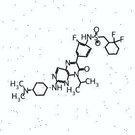 CC(C)n1c(=O)c(-c2ccc(NS(=O)(=O)CC3CCCCC3(F)F)c(F)c2)nc2cnc(N[C@H]3CC[C@H](N(C)C)CC3)nc21